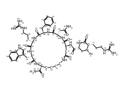 CC(=O)N1C[C@H](C(=O)N[C@H]2CC(=O)NCCCC[C@@H](C(N)=O)NC(=O)[C@H](Cc3c[nH]c4ccccc34)NC(=O)[C@H](CCCNC(=N)N)NC(=O)[C@@H](Cc3ccccc3)NC(=O)[C@H](CC(N)=O)NC2=O)NC(=O)[C@@H]1CCCNC(=N)N